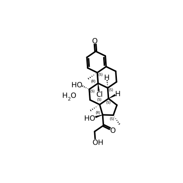 C[C@H]1C[C@H]2[C@@H]3CCC4=CC(=O)C=C[C@]4(C)[C@@]3(Cl)[C@@H](O)C[C@]2(C)[C@@]1(O)C(=O)CO.O